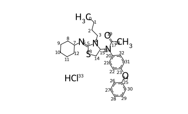 CCCCN1C(=NC2CCCCC2)SCC1N(C(C)=O)c1ccc(Oc2ccccc2)cc1.Cl